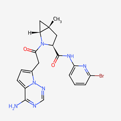 C[C@@]12C[C@@H](C(=O)Nc3cccc(Br)n3)N(C(=O)Cc3ccc4c(N)ncnn34)[C@@H]1C2